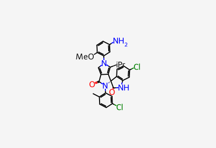 COc1ccc(N)cc1-n1cc2c(c1C(C)C)[C@@]1(C(=O)Nc3cc(Cl)ccc31)N(c1cc(Cl)ccc1C)C2=O